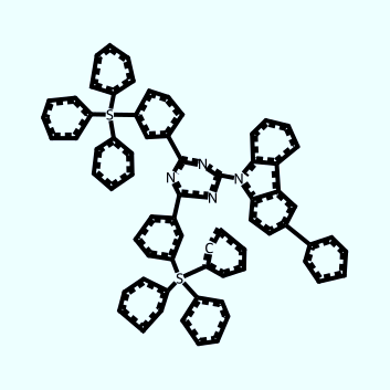 c1ccc(-c2ccc3c(c2)c2ccccc2n3-c2nc(-c3cccc(S(c4ccccc4)(c4ccccc4)c4ccccc4)c3)nc(-c3cccc(S(c4ccccc4)(c4ccccc4)c4ccccc4)c3)n2)cc1